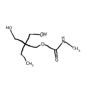 CCC(CO)(CO)COC(=O)NC